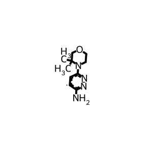 CC1(C)COCCN1c1c[c]c(N)nn1